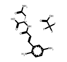 NC(=O)C[C@H](NC(=O)C=Cc1cc(N)ccc1N)C(=O)O.O=C(O)C(F)(F)F